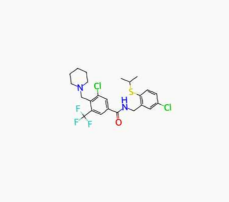 CC(C)Sc1ccc(Cl)cc1CNC(=O)c1cc(Cl)c(CN2CCCCC2)c(C(F)(F)F)c1